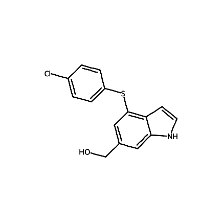 OCc1cc(Sc2ccc(Cl)cc2)c2cc[nH]c2c1